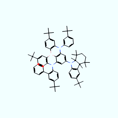 CC(C)(C)c1cccc(N2c3cc(C(C)(C)C)ccc3B3c4cc(C(C)(C)C)ccc4N(c4ccc(C(C)(C)C)cc4-c4ccccc4)c4cc(N5c6ccc(C(C)(C)C)cc6C6(C)C(C)(C)CCC(C)(C)C56C)cc2c43)c1